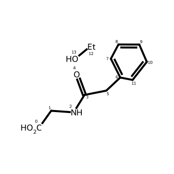 O=C(O)CNC(=O)Cc1ccccc1.[CH2]CO